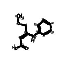 COC/C(=C/C(=O)O)Nc1ccccc1